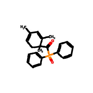 CC1=CCC(C)(C(=O)P(=O)(c2ccccc2)c2ccccc2)C(C)=C1